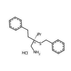 CC(C)[C@](CN)(CCc1ccccc1)SCc1ccccc1.Cl